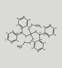 CCCCC(CCC)(CP(c1ccccc1)c1ccccc1)CP(c1ccccc1)c1ccccc1